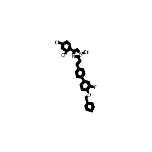 CCn1cc(-c2ccc(Cl)cc2Cl)nc1C=Cc1ccc(-c2ccc(OCc3ccccc3)c(F)c2)cc1